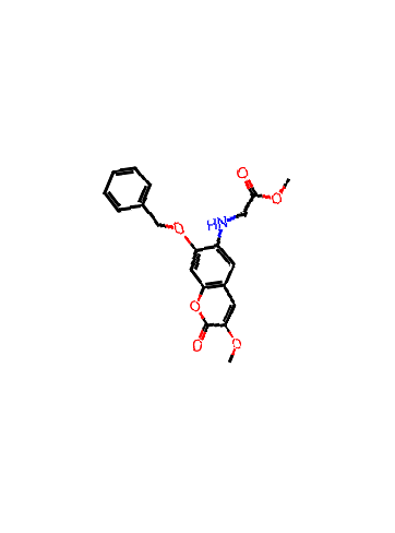 COC(=O)CNc1cc2cc(OC)c(=O)oc2cc1OCc1ccccc1